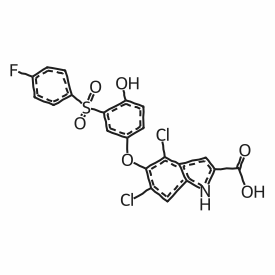 O=C(O)c1cc2c(Cl)c(Oc3ccc(O)c(S(=O)(=O)c4ccc(F)cc4)c3)c(Cl)cc2[nH]1